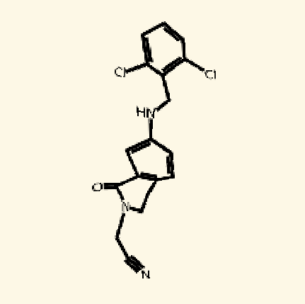 N#CCN1Cc2ccc(NCc3c(Cl)cccc3Cl)cc2C1=O